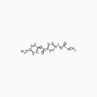 C=CC(=O)OCc1ccc(C(=O)Oc2ccc(C)cc2)cc1